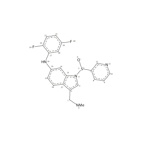 CNCc1cn([S+]([O-])c2cccnc2)c2cc(Nc3cc(F)ccc3F)ccc12